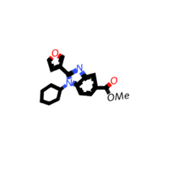 COC(=O)c1ccc2c(c1)nc(-c1ccoc1)n2C1CCCCC1